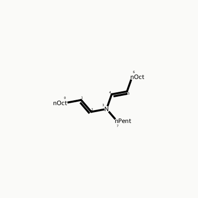 CCCCCCCCC=CN(C=CCCCCCCCC)CCCCC